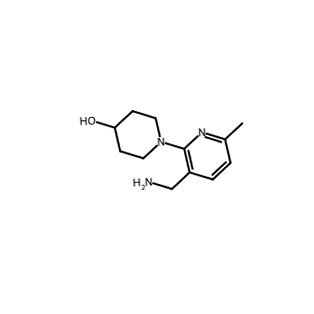 Cc1ccc(CN)c(N2CCC(O)CC2)n1